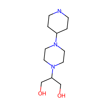 OCC(CO)N1CCN(C2CC[N]CC2)CC1